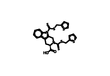 O=C(O)[C@H]1Cc2c(n(C(=S)SCc3cccs3)c3ccccc23)CN1C(=S)SCc1cccs1